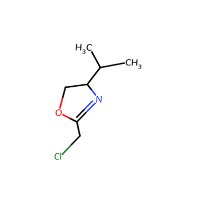 CC(C)C1COC(CCl)=N1